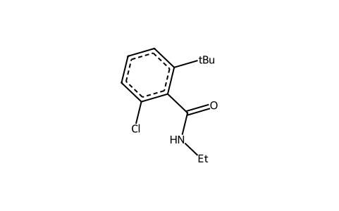 CCNC(=O)c1c(Cl)cccc1C(C)(C)C